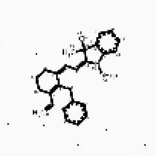 C=CC1=C(Cc2ccccc2)/C(=C\C=C2\N(CCCCCCC)c3ccccc3C2(C)C)CCC1